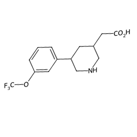 O=C(O)CC1CNCC(c2cccc(OC(F)(F)F)c2)C1